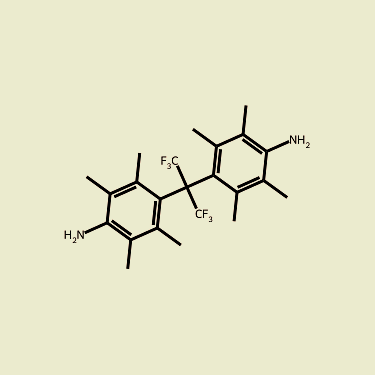 Cc1c(C)c(C(c2c(C)c(C)c(N)c(C)c2C)(C(F)(F)F)C(F)(F)F)c(C)c(C)c1N